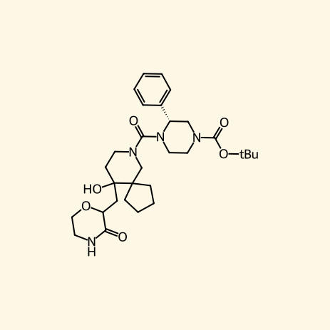 CC(C)(C)OC(=O)N1CCN(C(=O)N2CCC(O)(CC3OCCNC3=O)C3(CCCC3)C2)[C@H](c2ccccc2)C1